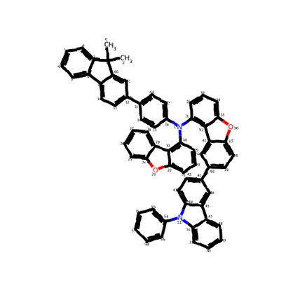 CC1(C)c2ccccc2-c2ccc(-c3ccc(N(c4cccc5oc6ccccc6c45)c4cccc5oc6ccc(-c7ccc8c(c7)c7ccccc7n8-c7ccccc7)cc6c45)cc3)cc21